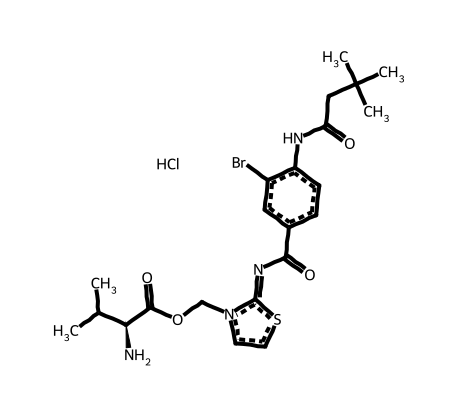 CC(C)[C@H](N)C(=O)OCn1ccs/c1=N\C(=O)c1ccc(NC(=O)CC(C)(C)C)c(Br)c1.Cl